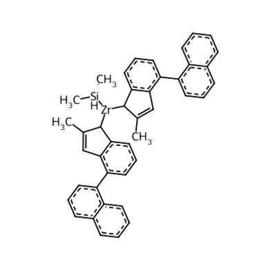 CC1=Cc2c(-c3cccc4ccccc34)cccc2[CH]1[Zr]([CH]1C(C)=Cc2c(-c3cccc4ccccc34)cccc21)[SiH](C)C